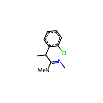 CN=C(NC)C(C)c1ccccc1Cl